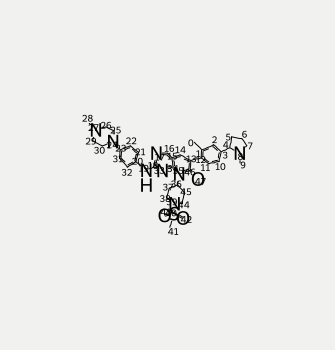 Cc1cc(C2CCCN2C)ccc1-c1cc2cnc(Nc3ccc(N4CCN(C)CC4)cc3)nc2n(C2CCN(S(C)(=O)=O)CC2)c1=O